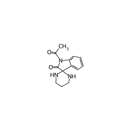 CC(=O)N1C(=O)C2(NCCCN2)c2ccccc21